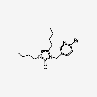 CCCCc1cn(CCCC)c(=O)n1Cc1ccc(Br)nc1